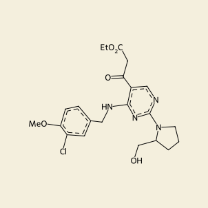 CCOC(=O)CC(=O)c1cnc(N2CCCC2CO)nc1NCc1ccc(OC)c(Cl)c1